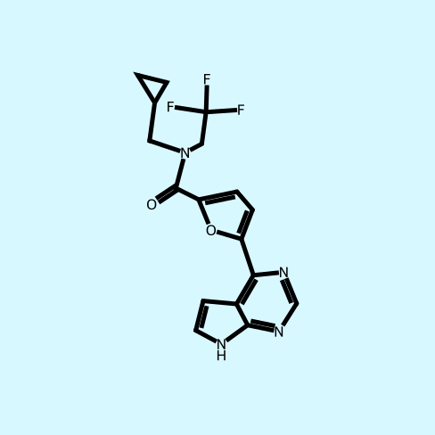 O=C(c1ccc(-c2ncnc3[nH]ccc23)o1)N(CC1CC1)CC(F)(F)F